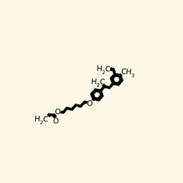 C=CC(=O)OCCCCCCOc1ccc(C(=C)Cc2ccc(C)c(C=C)c2)cc1